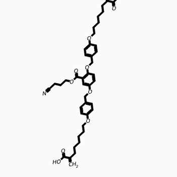 C=C(CCCCCCOc1ccc(COc2ccc(OCc3ccc(OCCCCCCC(=C)C(=O)O)cc3)c(C(=O)OCCCC#N)c2)cc1)C(=O)O